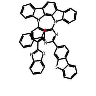 c1ccc(-c2nc(-c3ccc4c(c3)sc3ccccc34)nc(-n3c4ccccc4c4ccc5c6ccccc6n(-c6ccc(-c7nc8ccccc8o7)cc6)c5c43)n2)cc1